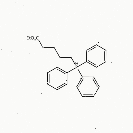 CCOC(=O)CCCC[PH](c1ccccc1)(c1ccccc1)c1ccccc1